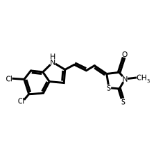 CN1C(=O)C(=CC=Cc2cc3cc(Cl)c(Cl)cc3[nH]2)SC1=S